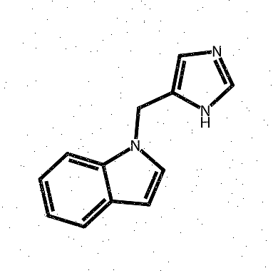 c1ccc2c(c1)ccn2Cc1cnc[nH]1